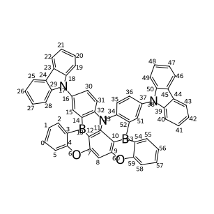 c1ccc2c(c1)Oc1cc3c4c5c1B2c1cc(-n2c6ccccc6c6ccccc62)ccc1N5c1ccc(-n2c5ccccc5c5ccccc52)cc1B4c1ccccc1O3